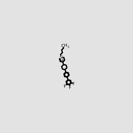 CCCCC[SiH]1CCC(C2CCC(c3ccc(-c4cc(F)c(F)c(F)c4)cc3)CC2)CC1